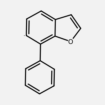 [c]1ccc2ccoc2c1-c1ccccc1